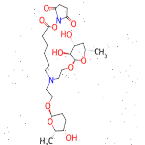 C[C@@H]1O[C@@H](OCCN(CCCCCC(=O)ON2C(=O)CCC2=O)CCO[C@@H]2O[C@@H](C)C[C@@H](O)[C@@H]2O)CC[C@@H]1O